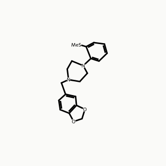 CSc1ccccc1N1CCN(Cc2ccc3c(c2)OCO3)CC1